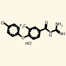 Cl.N=C(N)NC(=O)c1ccc(Oc2ccc(Cl)cc2)c(C(F)(F)F)c1